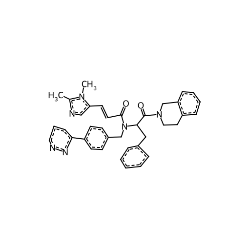 Cc1ncc(C=CC(=O)N(Cc2ccc(-c3cccnn3)cc2)C(Cc2ccccc2)C(=O)N2CCc3ccccc3C2)n1C